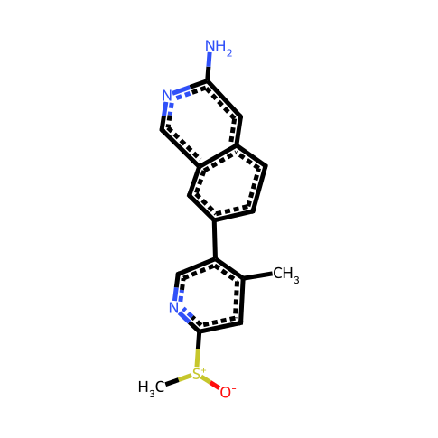 Cc1cc([S+](C)[O-])ncc1-c1ccc2cc(N)ncc2c1